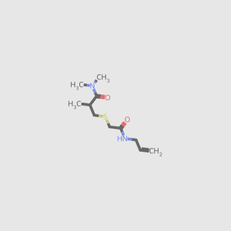 C=CCNC(=O)CSCC(C)C(=O)N(C)C